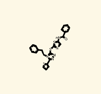 O=C(Nc1cnc(Sc2nnc(-c3cccs3)n2CCc2ccccc2)s1)c1ccccc1